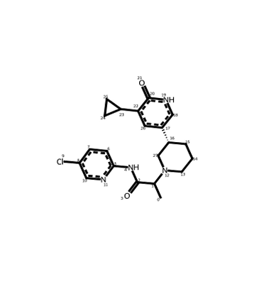 CC(C(=O)Nc1ccc(Cl)cn1)N1CCC[C@@H](c2c[nH]c(=O)c(C3CC3)c2)C1